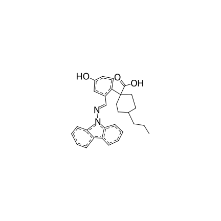 CCCC1CCC(C(=O)O)(c2ccc(O)cc2/C=N/n2c3ccccc3c3ccccc32)CC1